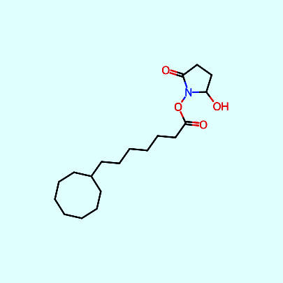 O=C(CCCCCCC1CCCCCCC1)ON1C(=O)CCC1O